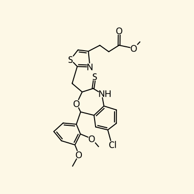 COC(=O)CCc1csc(CC2OC(c3cccc(OC)c3OC)c3cc(Cl)ccc3NC2=S)n1